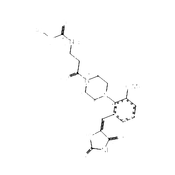 COc1cccc(C=C2SC(=O)NC2=O)c1N1CCN(C(=O)CCNC(=O)OC(C)(C)C)CC1